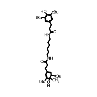 CC(C)(C)C1=CC(CCC(=O)NCCCCCCNC(=O)CCc2cc(C(C)(C)C)c(O)c(C(C)(C)C)c2)=CC(C(C)(C)C)C1(C)O